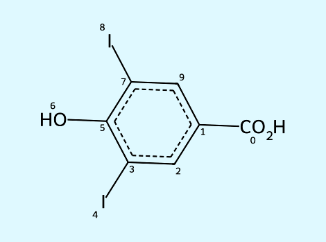 O=C(O)c1cc(I)c(O)c(I)c1